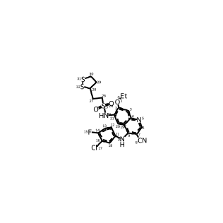 CCOc1cc2ncc(C#N)c(Nc3ccc(F)c(Cl)c3)c2cc1NS(=O)(=O)CCC1CCSS1